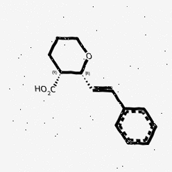 O=C(O)[C@@H]1CCCO[C@@H]1C=Cc1ccccc1